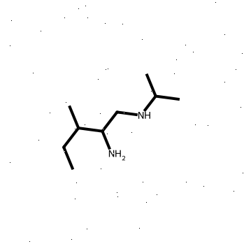 CCC(C)C(N)CNC(C)C